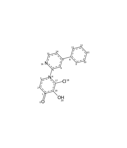 O=c1ccn(-c2cc(-c3ccccc3)ccn2)c(Cl)c1O